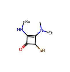 CCCCNC1=C(N(C)CC)C(S)C1=O